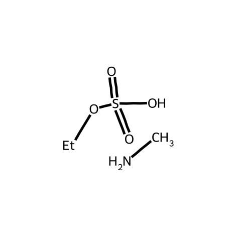 CCOS(=O)(=O)O.CN